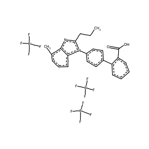 CCCc1nc2c(C)cccc2n1-c1ccc(-c2ccccc2C(=O)O)cc1.F[B-](F)(F)F.F[B-](F)(F)F.F[B-](F)(F)F